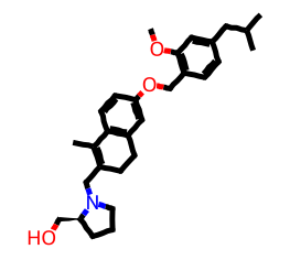 COc1cc(CC(C)C)ccc1COc1ccc2c(c1)CCC(CN1CCC[C@H]1CO)=C2C